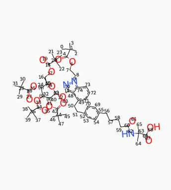 CC(C)(C)C(=O)OCCn1nc(O[C@@H]2O[C@H](COC(=O)C(C)(C)C)[C@@H](OC(=O)C(C)(C)C)[C@H](OC(=O)C(C)(C)C)[C@H]2OC(=O)C(C)(C)C)c2c(CCc3ccc(CCCCC(=O)NC(C)(C)C(=O)O)cc3)cccc21